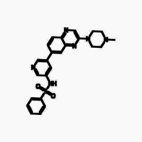 CN1CCN(c2cnc3ccc(-c4cncc(NS(=O)(=O)c5ccccc5)c4)cc3n2)CC1